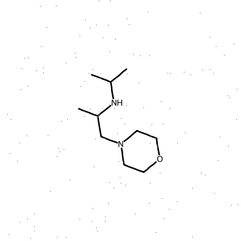 CC(C)NC(C)CN1CCOCC1